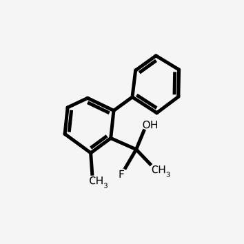 Cc1cccc(-c2ccccc2)c1C(C)(O)F